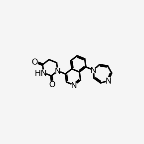 O=C1CCN(c2cncc3c(N4C=CC=NC=C4)cccc23)C(=O)N1